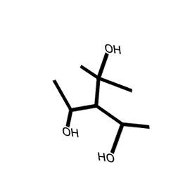 CC(O)C(C(C)O)C(C)(C)O